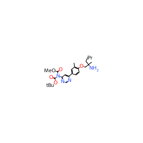 COC(=O)N(C(=O)OC(C)(C)C)c1cc(-c2ccc(OCC(C)(N)CC(C)C)c(C)c2)ncn1